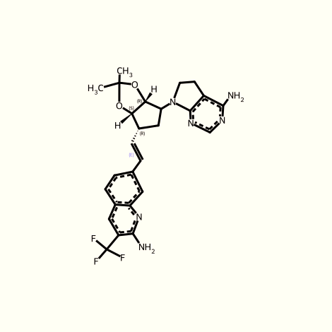 CC1(C)O[C@@H]2[C@H](O1)C(N1CCc3c(N)ncnc31)C[C@@H]2/C=C/c1ccc2cc(C(F)(F)F)c(N)nc2c1